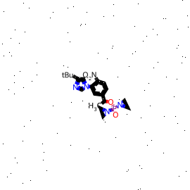 CC(OP(=O)(N1CC1)N1CC1)c1ccc([N+](=O)[O-])c(-n2cnc(C(C)(C)C)c2)c1